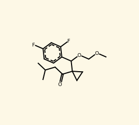 COCOC(c1ccc(F)cc1F)C1(C(=O)CC(C)C)CC1